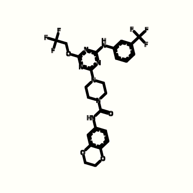 O=C(Nc1ccc2c(c1)OCCO2)N1CCN(c2nc(Nc3cccc(C(F)(F)F)c3)nc(OCC(F)(F)F)n2)CC1